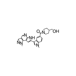 Cn1cc(-c2cc3c(ncc4cnn(C)c43)[nH]2)c2cc(C(=O)N3CCC(CO)CC3)ccc21